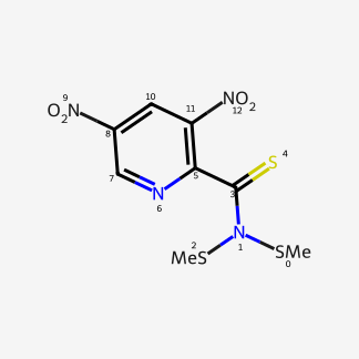 CSN(SC)C(=S)c1ncc([N+](=O)[O-])cc1[N+](=O)[O-]